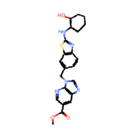 COC(=O)c1cnc2c(c1)ncn2Cc1ccc2nc(NC3CCCCC3O)sc2c1